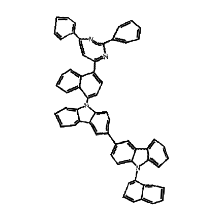 c1ccc(-c2cc(-c3ccc(-n4c5ccccc5c5cc(-c6ccc7c(c6)c6ccccc6n7-c6cccc7ccccc67)ccc54)c4ccccc34)nc(-c3ccccc3)n2)cc1